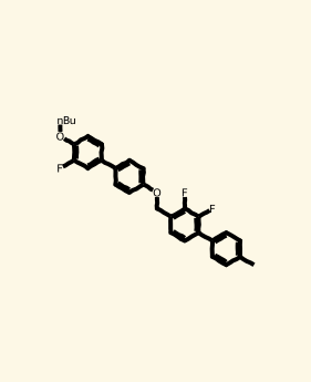 CCCCOc1ccc(-c2ccc(OCc3ccc(-c4ccc(C)cc4)c(F)c3F)cc2)cc1F